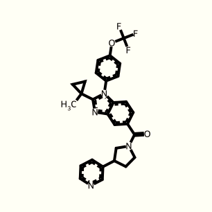 CC1(c2nc3cc(C(=O)N4CCC(c5cccnc5)C4)ccc3n2-c2ccc(OC(F)(F)F)cc2)CC1